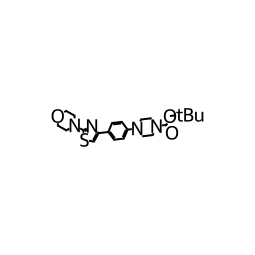 CC(C)(C)OC(=O)N1CCN(c2ccc(-c3csc(N4CCOCC4)n3)cc2)CC1